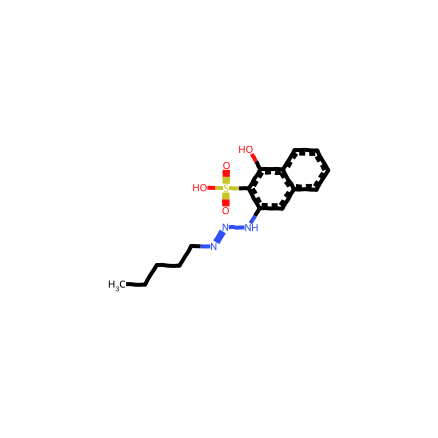 CCCCCN=NNc1cc2ccccc2c(O)c1S(=O)(=O)O